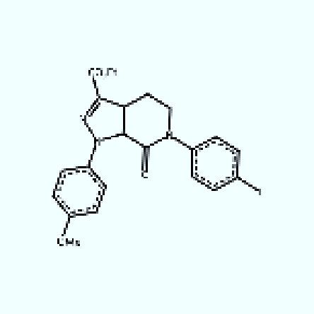 CCOC(=O)C1=NN(c2ccc(OC)cc2)C2C(=O)N(c3ccc(I)cc3)CCC12